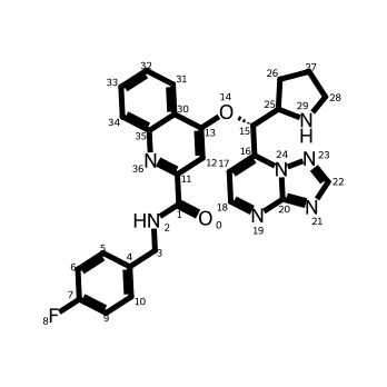 O=C(NCc1ccc(F)cc1)c1cc(O[C@@H](c2ccnc3ncnn23)C2CCCN2)c2ccccc2n1